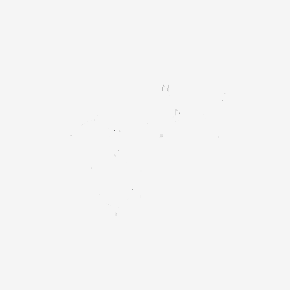 c1ccc(P(c2ccccc2)c2cnn(C3CCC3)c2)cc1